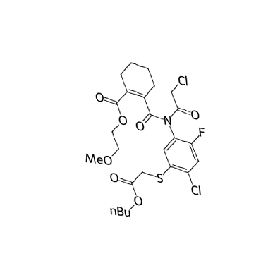 CCCCOC(=O)CSc1cc(N(C(=O)CCl)C(=O)C2=C(C(=O)OCCOC)CCCC2)c(F)cc1Cl